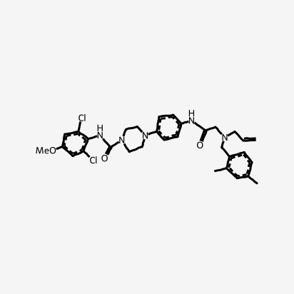 C=CCN(CC(=O)Nc1ccc(N2CCN(C(=O)Nc3c(Cl)cc(OC)cc3Cl)CC2)cc1)Cc1ccc(C)cc1C